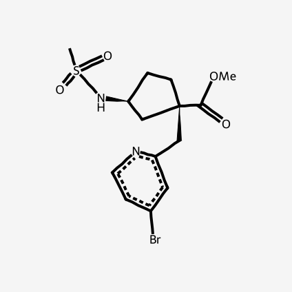 COC(=O)[C@@]1(Cc2cc(Br)ccn2)CC[C@H](NS(C)(=O)=O)C1